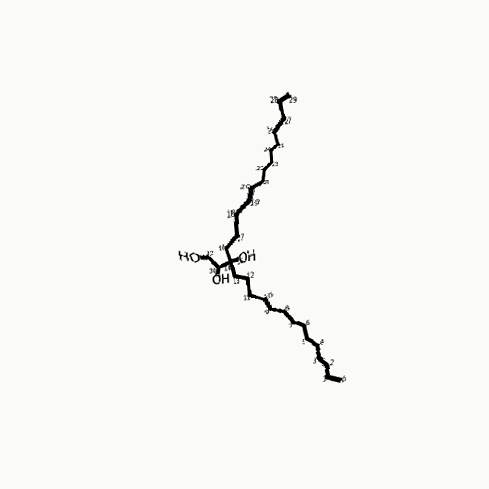 CCCCCCCCCCCCCCC(O)(CCCCCCCCCCCCCC)C(O)CO